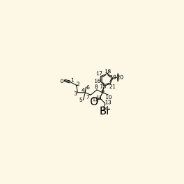 C#CCCC(C)(C)CCC(C)(C(=O)CBr)c1cccc(I)c1